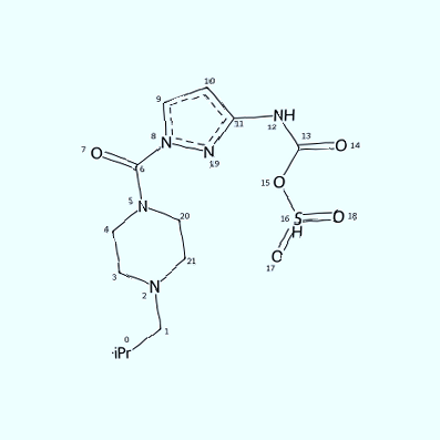 C[C](C)CN1CCN(C(=O)n2ccc(NC(=O)O[SH](=O)=O)n2)CC1